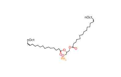 CCCCCCCC/C=C\CCCCCCCCCCCC(=O)OCC(COP)OC(=O)CCCCCCCCCCC/C=C\CCCCCCCC